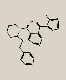 Cc1ccccc1-c1nnc(N2CCCCC2CCc2ccccc2)c2ccccc12